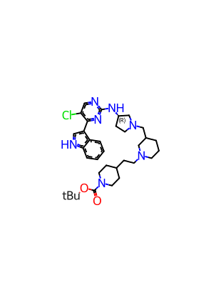 CC(C)(C)OC(=O)N1CCC(CCN2CCCC(CN3CC[C@@H](Nc4ncc(Cl)c(-c5c[nH]c6ccccc56)n4)C3)C2)CC1